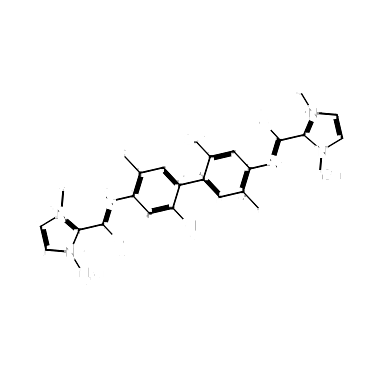 CCCCn1cc[n+](C)c1/C([O-])=N/c1cc(Cl)c(-c2cc(C)c(/N=C(\[O-])c3n(CCCC)cc[n+]3C)cc2Cl)cc1C